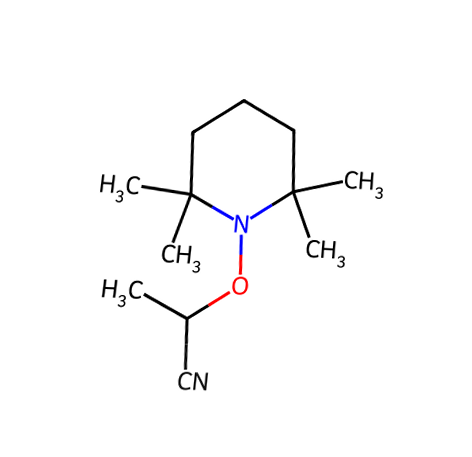 CC(C#N)ON1C(C)(C)CCCC1(C)C